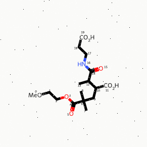 COCCOC(=O)C(C)(C)CC(C(=O)O)C(C)C(=O)NCCC(=O)O